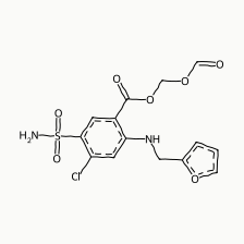 NS(=O)(=O)c1cc(C(=O)OCOC=O)c(NCc2ccco2)cc1Cl